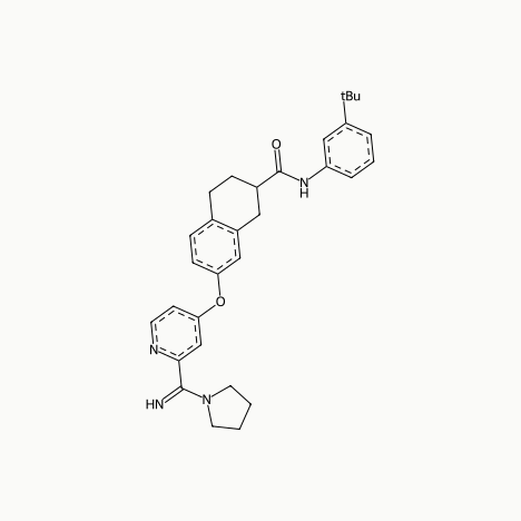 CC(C)(C)c1cccc(NC(=O)C2CCc3ccc(Oc4ccnc(C(=N)N5CCCC5)c4)cc3C2)c1